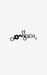 CCOC(=O)NCCc1ccc(Cl)cc1